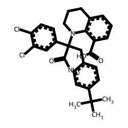 CC(C)(C)c1ccc(CC(C(N)=O)(c2ccc(Cl)c(Cl)c2)N2CCCc3cccc(C(=O)O)c32)cc1